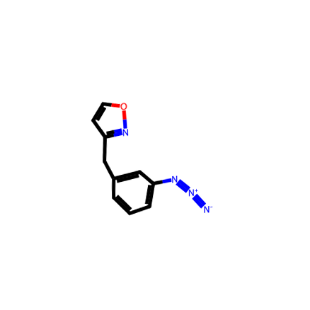 [N-]=[N+]=Nc1cccc(Cc2ccon2)c1